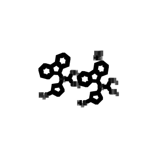 CC1=CC[C]([Hf](=[C](C)C)[CH]2c3ccccc3-c3ccccc32)=C1.CC1=CC[C]([Hf](=[C](C)C)[CH]2c3ccccc3-c3ccccc32)=C1.Cl.Cl